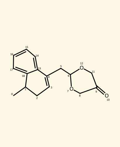 CC1CC=C(CC2OCC(=O)CO2)c2ccccc21